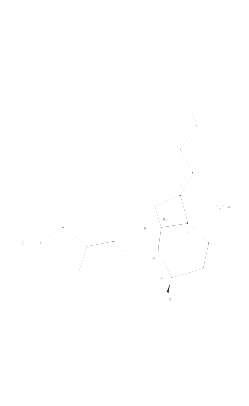 CCCCCCC=C(O)CC[C@H]1[C@H](O)CC[C@]2(OC)C(=CCCC(=O)O)C[C@H]12